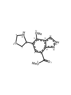 COC(=O)c1cc(C2COCN2)c(OC)c2c[nH]nc12